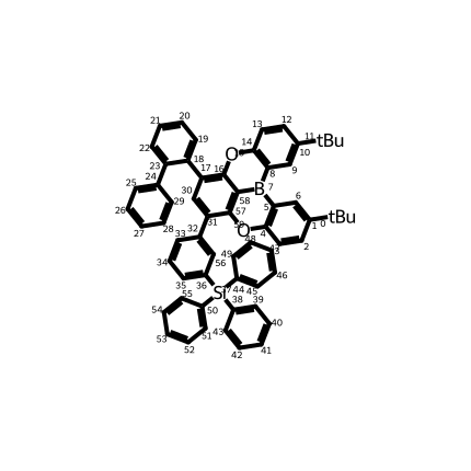 CC(C)(C)c1ccc2c(c1)B1c3cc(C(C)(C)C)ccc3Oc3c(-c4ccccc4-c4ccccc4)cc(-c4cccc([Si](c5ccccc5)(c5ccccc5)c5ccccc5)c4)c(c31)O2